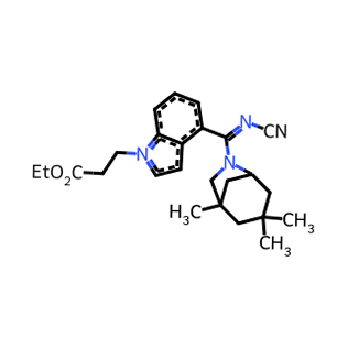 CCOC(=O)CCn1ccc2c(C(=NC#N)N3CC4(C)CC3CC(C)(C)C4)cccc21